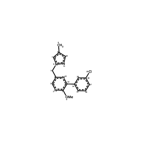 COc1ncc(Cn2cc(C)cn2)nc1-c1cccc(Cl)c1